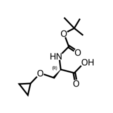 CC(C)(C)OC(=O)N[C@H](COC1CC1)C(=O)O